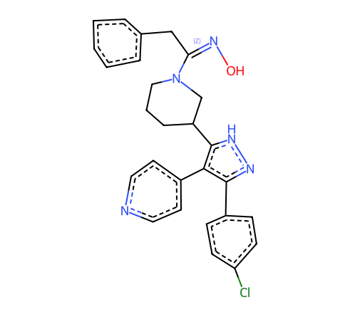 O/N=C(/Cc1ccccc1)N1CCCC(c2[nH]nc(-c3ccc(Cl)cc3)c2-c2ccncc2)C1